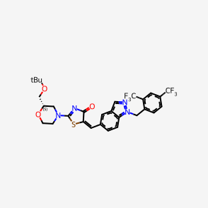 CC(C)(C)OC[C@@H]1CN(C2=NC(=O)C(=Cc3ccc4c(cnn4Cc4ccc(C(F)(F)F)cc4C(F)(F)F)c3)S2)CCO1